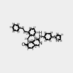 O=c1ccc2cnc(Nc3ccc(-n4cccn4)cc3)nc2n1Cc1ccccc1CCc1ccccc1